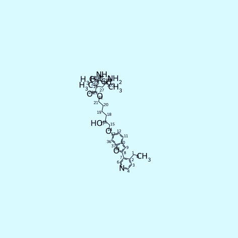 CCc1ccncc1-c1cc2ccc(OCC(O)CCCCOC(=O)C(C)(CC(C)(C)N)C(C)(C)N)cc2o1